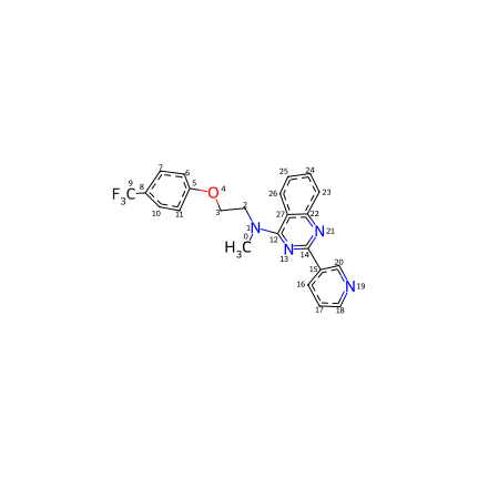 CN(CCOc1ccc(C(F)(F)F)cc1)c1nc(-c2cccnc2)nc2ccccc12